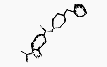 CC(C)n1nnc2cc(C(=O)NN3CCC(Cc4ccccc4)CC3)ccc21